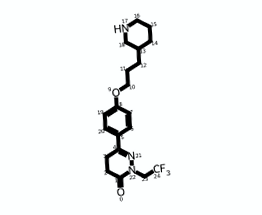 O=C1CCC(c2ccc(OCCCC3CCCNC3)cc2)=NN1CC(F)(F)F